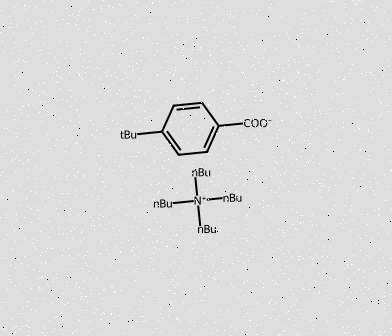 CC(C)(C)c1ccc(C(=O)[O-])cc1.CCCC[N+](CCCC)(CCCC)CCCC